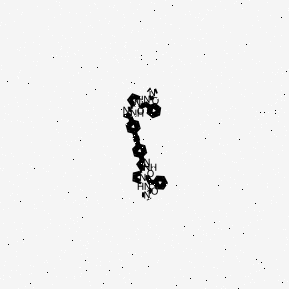 CN(C)C(=O)N[C@@H](C(=O)N1CCC[C@H]1c1cc(-c2ccc(C#Cc3ccc(-c4cnc([C@@H]5CCCN5C(=O)[C@H](NC(=O)N(C)C)c5ccccc5)[nH]4)cc3)cc2)n[nH]1)c1ccccc1